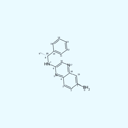 Bc1ccc2nc(N[C@H](C)c3ccccc3)cnc2c1